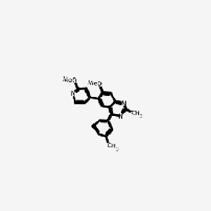 COc1cc(-c2cc3c(-c4cccc(C)c4)nc(C)nc3cc2OC)ccn1